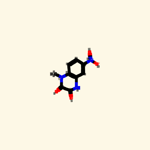 Cn1c(=O)c(=O)[nH]c2cc([N+](=O)[O-])ccc21